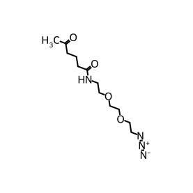 CC(=O)CCCC(=O)NCCOCCOCCN=[N+]=[N-]